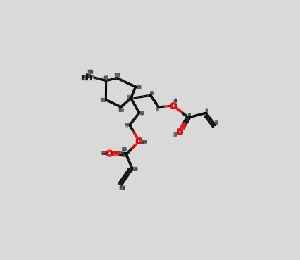 C=CC(=O)OCCC1(CCOC(=O)C=C)CCC(CCC)CC1